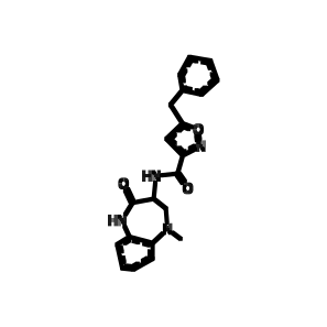 CN1CC(NC(=O)c2cc(Cc3ccccc3)on2)C(=O)Nc2ccccc21